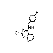 Fc1ccc(CNc2nc(Cl)nc3ncccc23)cc1